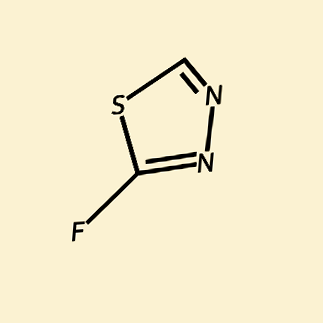 Fc1nncs1